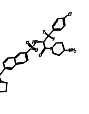 NC1CCN(C(=O)[C@@H](NS(=O)(=O)c2ccc3cc(OC4CCCC4)ccc3c2)C(F)(F)c2ccc(Cl)cc2)CC1